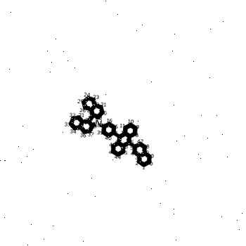 c1ccc2cc(-c3c4ccccc4c(-c4ccc(-n5c6ccc7ccccc7c6c6c7ccccc7ccc65)cc4)c4ccccc34)ccc2c1